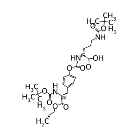 C=CCOC(=O)[C@H](Cc1ccc(OC(=O)N[C@@H](CCCNC(=O)OC(C)(C)C)C(=O)O)cc1)NC(=O)OC(C)(C)C